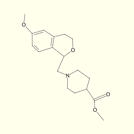 COC(=O)C1CCN(CC2OCCc3cc(OC)ccc32)CC1